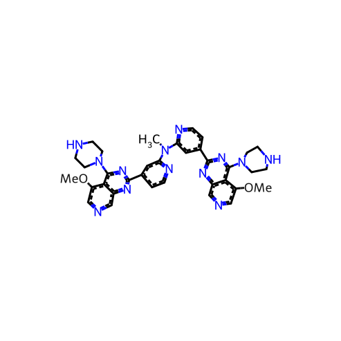 COc1cncc2nc(-c3ccnc(N(C)c4cc(-c5nc(N6CCNCC6)c6c(OC)cncc6n5)ccn4)c3)nc(N3CCNCC3)c12